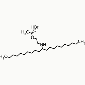 Br.CCCCCCCCCCC(CCCCCCCCCC)NCCOC(C)=O